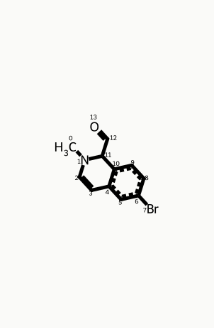 CN1C=Cc2cc(Br)ccc2C1C=O